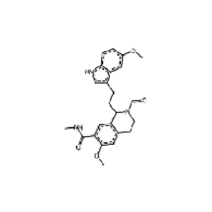 CNC(=O)c1cc2c(cc1OC)CCN(C=O)C2CCc1c[nH]c2ccc(OC)cc12